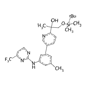 Cc1cc(Nc2nccc(C(F)(F)F)n2)cc(-c2ccc(C(C)(O)CO[Si](C)(C)C(C)(C)C)nc2)c1